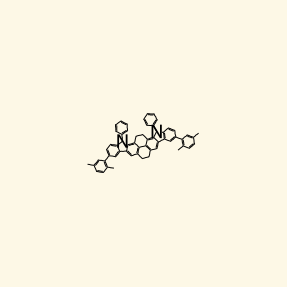 Cc1ccc(C)c(-c2ccc3c(c2)c2cc4c5c(c2n3-c2ccccc2)CCc2c-5c(cc3c5cc(-c6cc(C)ccc6C)ccc5n(-c5ccccc5)c23)CC4)c1